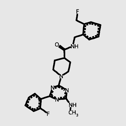 CNc1nc(-c2ccccc2F)nc(N2CCC(C(=O)NCc3ccccc3CF)CC2)n1